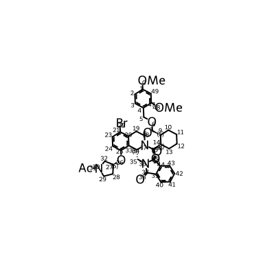 COc1ccc(COC(=O)[C@H]2CCCC[C@H]2C(=O)N2CCc3c(Br)ccc(O[C@H]4CCN(C(C)=O)C4)c3[C@H]2CN2C(=O)c3ccccc3C2=O)c(OC)c1